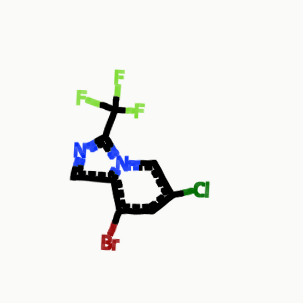 FC(F)(F)c1ncc2c(Br)cc(Cl)cn12